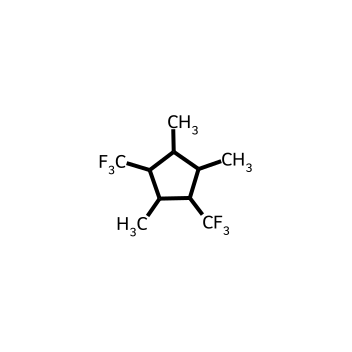 CC1C(C)C(C(F)(F)F)C(C)C1C(F)(F)F